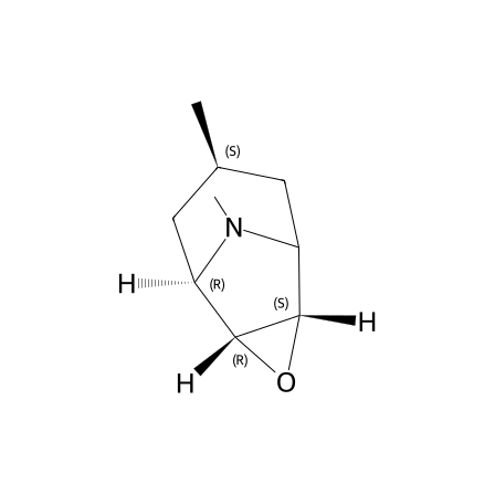 C[C@H]1CC2[C@@H]3O[C@@H]3[C@@H](C1)N2C